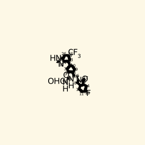 O=CNC(=O)N[C@@H](CN1Cc2ccc(F)cc2C1=O)c1ccc(-c2cc(C(F)(F)F)cc3[nH]cnc23)cc1